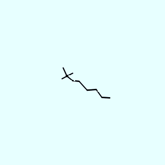 CCCCCCC(C)(S)S